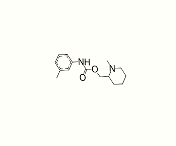 Cc1cccc(NC(=O)OCC2CCCCN2C)c1